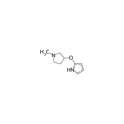 CN1CCC(Oc2ccc[nH]2)C1